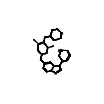 C[C@@H]1CN(Cc2ccn3ncc(N4C=CCNC4)c3c2)C[C@H](C)N1CC1CCOCC1